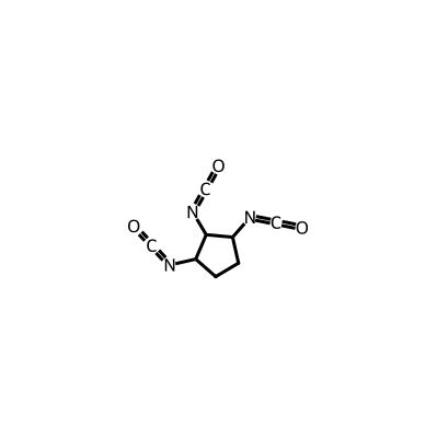 O=C=NC1CCC(N=C=O)C1N=C=O